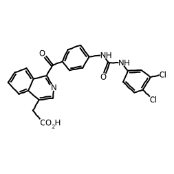 O=C(O)Cc1cnc(C(=O)c2ccc(NC(=O)Nc3ccc(Cl)c(Cl)c3)cc2)c2ccccc12